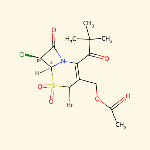 CC(=O)OCC1=C(C(=O)C(C)(C)C)N2C(=O)[C@H](Cl)[C@@H]2S(=O)(=O)C1Br